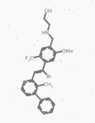 COc1cc(C(Br)=Cc2cccc(-c3ccccc3)c2C)c(C(F)(F)F)cc1CNCCO